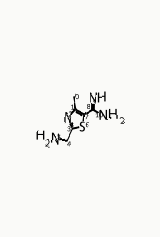 Cc1nc(CN)sc1C(=N)N